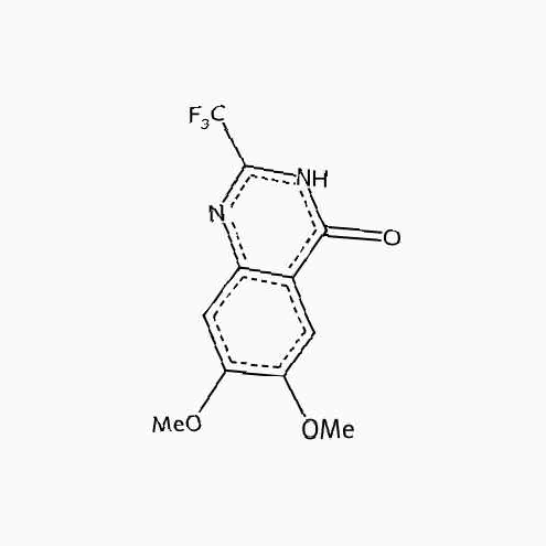 COc1cc2nc(C(F)(F)F)[nH]c(=O)c2cc1OC